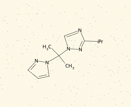 CC(C)c1ncn(C(C)(C)n2cccn2)n1